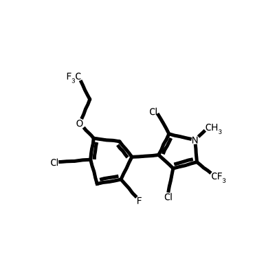 Cn1c(Cl)c(-c2cc(OCC(F)(F)F)c(Cl)cc2F)c(Cl)c1C(F)(F)F